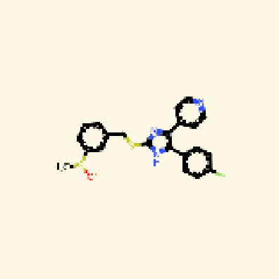 C[S+]([O-])c1cccc(CSc2nc(-c3ccncc3)c(-c3ccc(F)cc3)[nH]2)c1